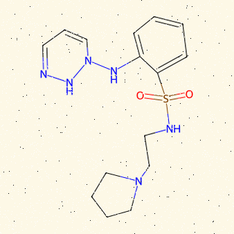 O=S(=O)(NCCN1CCCC1)c1ccccc1NN1C=CC=NN1